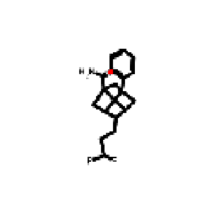 NC(=O)C12CC3C(CCC(F)F)C4CC(c5ccccc5)(C1)C342